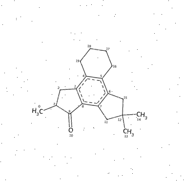 CC1Cc2c3c(c4c(c2C1=O)CC(C)(C)C4)CCCC3